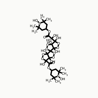 CC1(C)CC(OC(=O)C(O)(O)C2(O)OOC3(O)C2(O)OOC32OOC3(O)C(O)(C(=O)OC4CC(C)(C)N(O)C(C)(C)C4)OOC32O)CC(C)(C)N1O